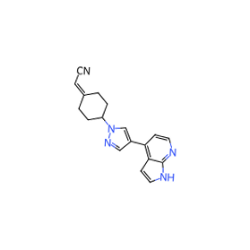 N#CC=C1CCC(n2cc(-c3ccnc4[nH]ccc34)cn2)CC1